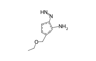 CCOCc1ccc(N=N)c(N)c1